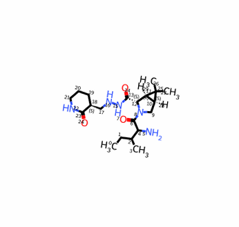 CCC(C)C(N)C(=O)N1C[C@H]2[C@@H]([C@H]1C(=O)NNC[C@@H]1CCCNC1=O)C2(C)C